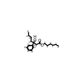 CCCCCCOC(=O)CC(O)(CCCC)c1ccccc1